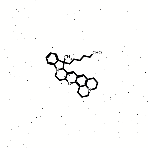 CC1(CCCCCC=O)c2ccccc2N2CCC3Oc4c(cc5c6c4CCCN6CCC5)C=C3C21